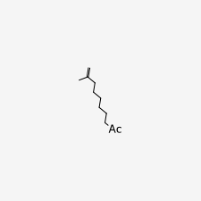 C=C(C)CCCCCCC(C)=O